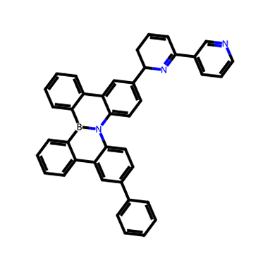 C1=CC(c2cccnc2)=NC(c2ccc3c(c2)-c2ccccc2B2c4ccccc4-c4cc(-c5ccccc5)ccc4N23)C1